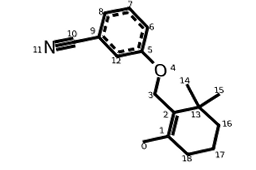 CC1=C(COc2cccc(C#N)c2)C(C)(C)CCC1